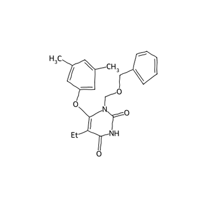 CCc1c(Oc2cc(C)cc(C)c2)n(COCc2ccccc2)c(=O)[nH]c1=O